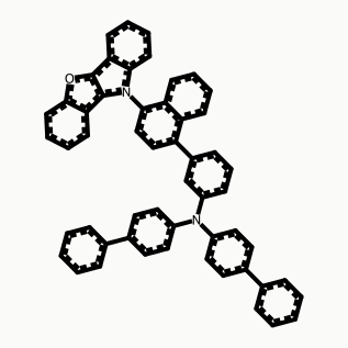 c1ccc(-c2ccc(N(c3ccc(-c4ccccc4)cc3)c3cccc(-c4ccc(-n5c6ccccc6c6oc7ccccc7c65)c5ccccc45)c3)cc2)cc1